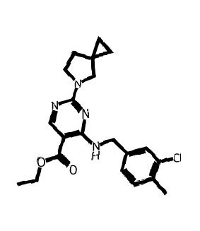 CCOC(=O)c1cnc(N2CCC3(CC3)C2)nc1NCc1ccc(C)c(Cl)c1